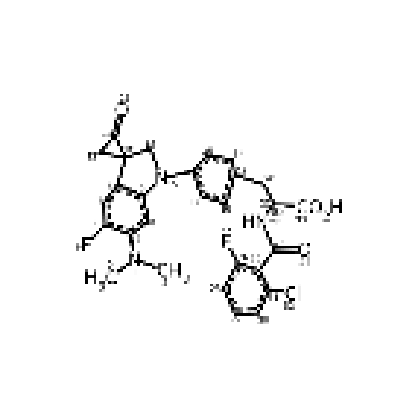 CN(C)c1cc2c(cc1F)C1(CC1=O)CN2c1ccc(C[C@H](NC(=O)c2c(F)cccc2Cl)C(=O)O)cc1